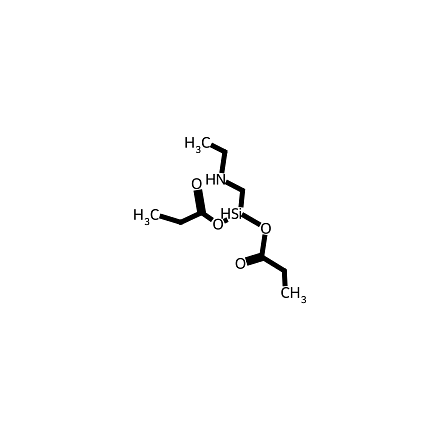 CCNC[SiH](OC(=O)CC)OC(=O)CC